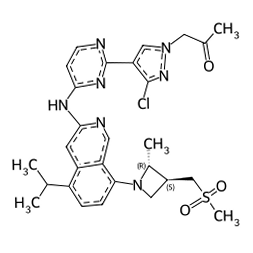 CC(=O)Cn1cc(-c2nccc(Nc3cc4c(C(C)C)ccc(N5C[C@H](CS(C)(=O)=O)[C@H]5C)c4cn3)n2)c(Cl)n1